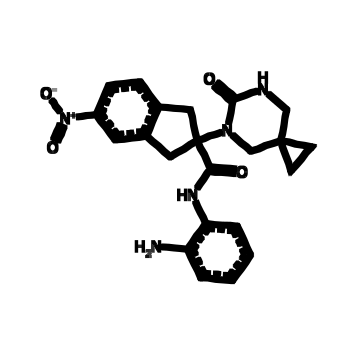 Nc1ccccc1NC(=O)C1(N2CC3(CC3)CNC2=O)Cc2ccc([N+](=O)[O-])cc2C1